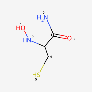 NC(=O)C(CS)NO